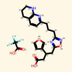 O=C(O)C(F)(F)F.O=C(O)CC(Cc1nc(CCCc2ccc3c(n2)NCCC3)no1)c1ccoc1